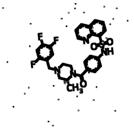 C[C@@H]1CN(Cc2cc(F)c(F)cc2F)CCN1C(=O)c1ccc(NS(=O)(=O)c2cccc3cccnc23)cc1